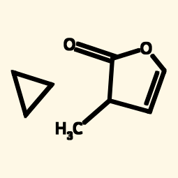 C1CC1.CC1C=COC1=O